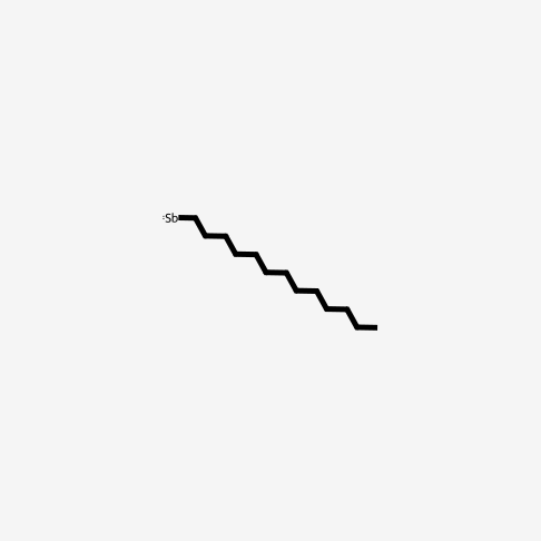 CCCCCCCCCCCC[CH2][Sb]